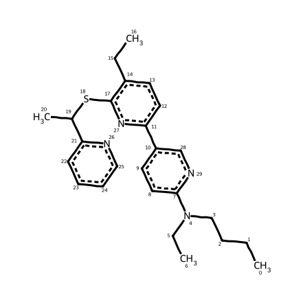 CCCCN(CC)c1ccc(-c2ccc(CC)c(SC(C)c3ccccn3)n2)cn1